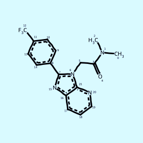 CN(C)C(=O)Cn1c(-c2ccc(C(F)(F)F)cc2)nc2cccnc21